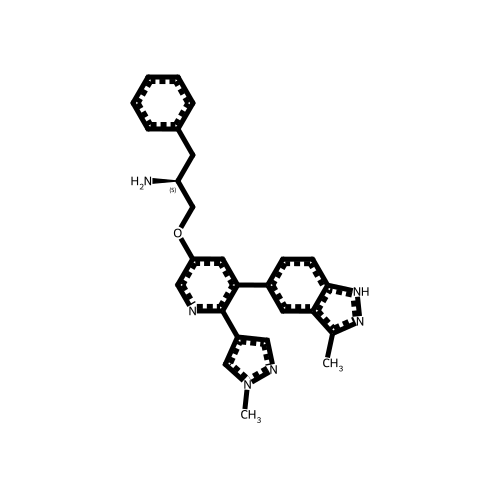 Cc1n[nH]c2ccc(-c3cc(OC[C@@H](N)Cc4ccccc4)cnc3-c3cnn(C)c3)cc12